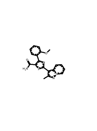 COc1ccccc1-c1nc(-c2c(C)nn3ccccc23)sc1C(N)=O